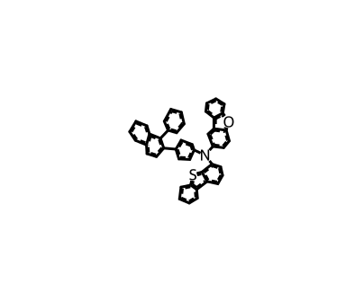 c1ccc(-c2c(-c3ccc(N(c4ccc5oc6ccccc6c5c4)c4cccc5c4sc4ccccc45)cc3)ccc3ccccc23)cc1